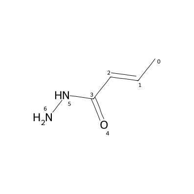 CC=CC(=O)NN